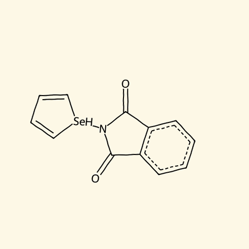 O=C1c2ccccc2C(=O)N1[SeH]1C=CC=C1